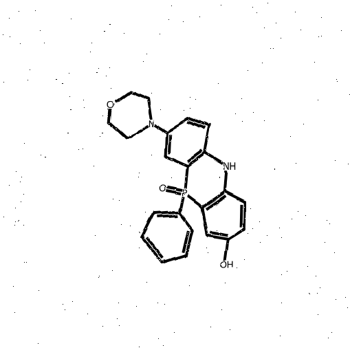 O=P1(c2ccccc2)c2cc(O)ccc2Nc2ccc(N3CCOCC3)cc21